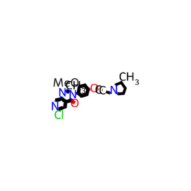 COc1cc(OCCCN2CCC[C@H](C)C2)ccc1-n1c(C)nc2cnc(Cl)cc2c1=O